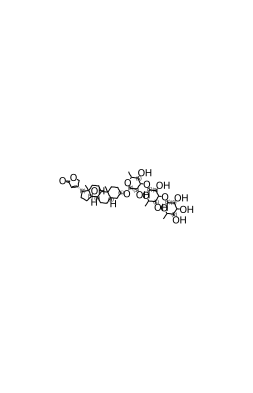 CC1O[C@@H](OC2[C@@H](O)C(C)O[C@@H](OC3[C@@H](O)C(C)O[C@@H](O[C@H]4CCC5(C)C6CCC7(C)[C@@H](C8=CC(=O)OC8)CC[C@]7(O)[C@@H]6CC[C@@H]5C4)[C@H]3O)[C@H]2O)[C@@H](O)C(O)[C@H]1O